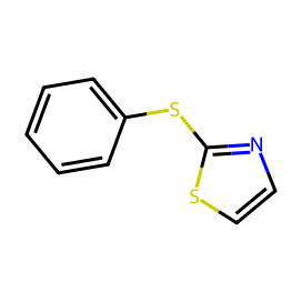 c1ccc(Sc2nccs2)cc1